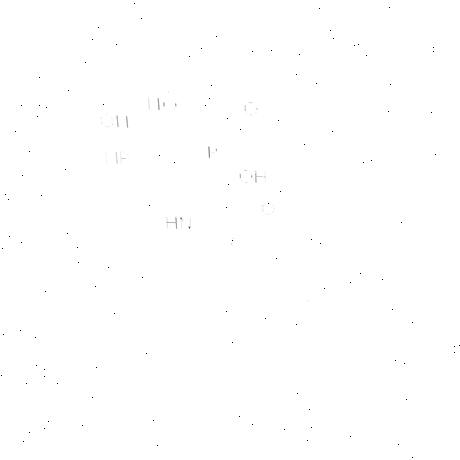 CCCCC(=O)NC(PO)P(=O)(O)O